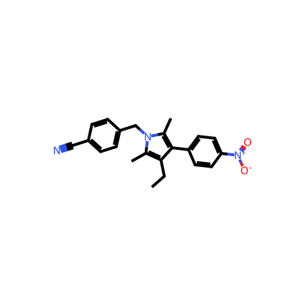 CCc1c(-c2ccc([N+](=O)[O-])cc2)c(C)n(Cc2ccc(C#N)cc2)c1C